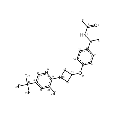 CC(=O)NC(C)c1ccc(OC2CN(c3ncc(C(F)(F)F)cc3F)C2)cc1